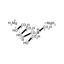 O=C(O)O.O=C(O)O.O=C(O)O.O=C(O)O.O=C(O)O.[MgH2].[MgH2]